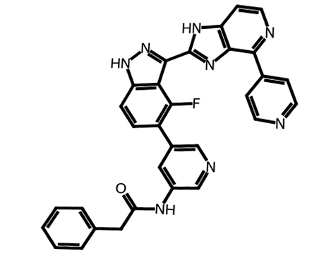 O=C(Cc1ccccc1)Nc1cncc(-c2ccc3[nH]nc(-c4nc5c(-c6ccncc6)nccc5[nH]4)c3c2F)c1